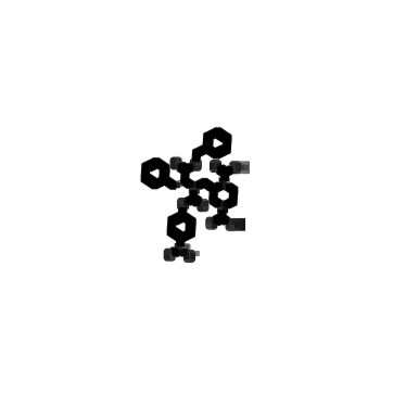 O=C(OCc1ccccc1)[C@@H](Cc1ccccc1)N(CC1CN(C(=O)O)CCN1C(=O)O)C(=O)Oc1ccc([N+](=O)[O-])cc1